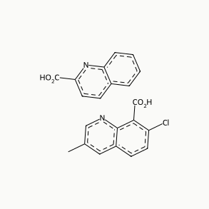 Cc1cnc2c(C(=O)O)c(Cl)ccc2c1.O=C(O)c1ccc2ccccc2n1